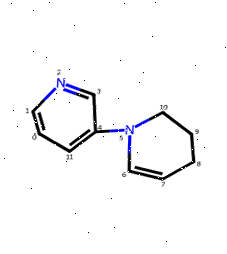 [c]1cncc(N2C=CCCC2)c1